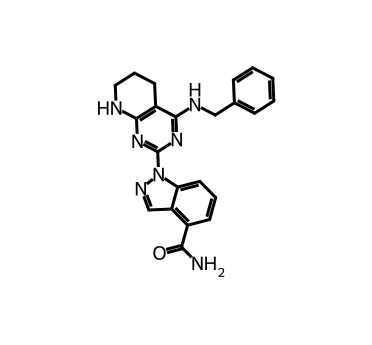 NC(=O)c1cccc2c1cnn2-c1nc2c(c(NCc3ccccc3)n1)CCCN2